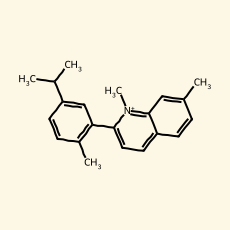 Cc1ccc2ccc(-c3cc(C(C)C)ccc3C)[n+](C)c2c1